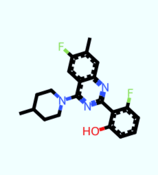 Cc1cc2nc(-c3c(O)cccc3F)nc(N3CCC(C)CC3)c2cc1F